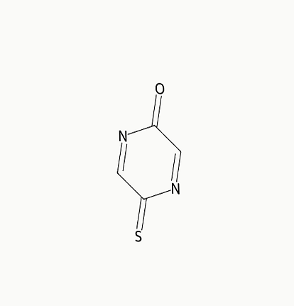 O=C1C=NC(=S)C=N1